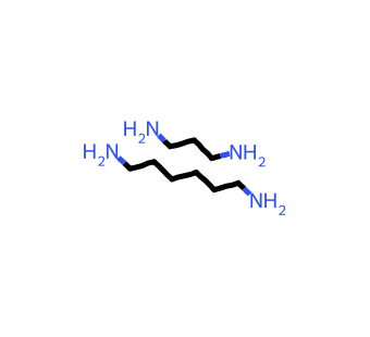 NCCCCCCN.NCCCN